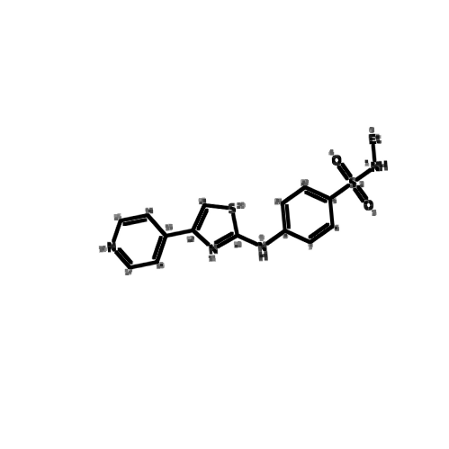 CCNS(=O)(=O)c1ccc(Nc2nc(-c3ccncc3)cs2)cc1